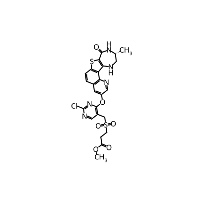 COC(=O)CCS(=O)(=O)Cc1cnc(Cl)nc1Oc1cnc2c(ccc3sc4c(c32)NC[C@@H](C)NC4=O)c1